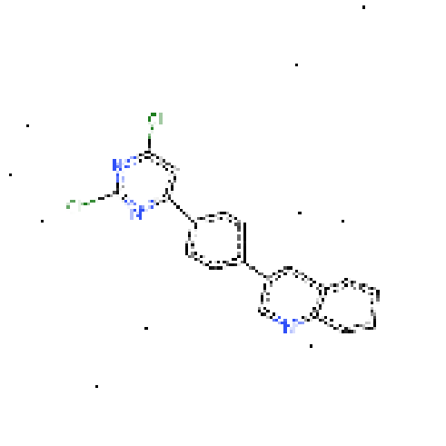 Clc1cc(-c2ccc(-c3cnc4ccccc4c3)cc2)nc(Cl)n1